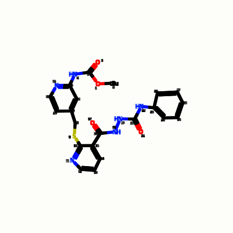 CC(C)(C)OC(=O)Nc1cc(CSc2ncccc2C(=O)NNC(=O)Nc2ccccc2)ccn1